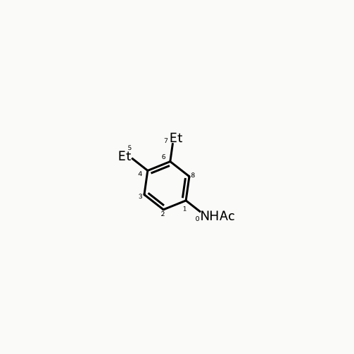 [CH2]C(=O)Nc1ccc(CC)c(CC)c1